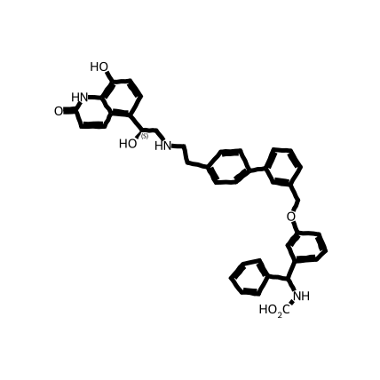 O=C(O)NC(c1ccccc1)c1cccc(OCc2cccc(-c3ccc(CCNC[C@@H](O)c4ccc(O)c5[nH]c(=O)ccc45)cc3)c2)c1